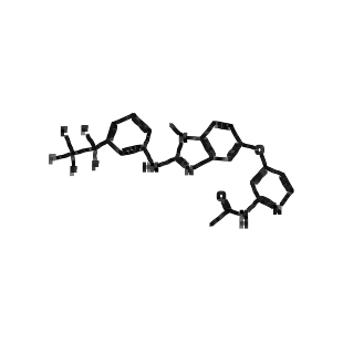 CC(=O)Nc1cc(Oc2ccc3c(c2)nc(Nc2cccc(C(F)(F)C(F)(F)F)c2)n3C)ccn1